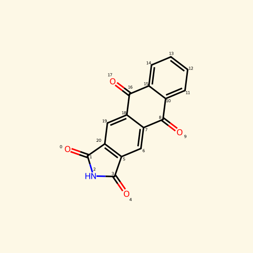 O=c1[nH]c(=O)c2cc3c(=O)c4ccccc4c(=O)c3cc12